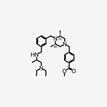 CCN(CC)CC(C)NCc1cccc(CN2[C@H](C)CN(Cc3ccc(C(=O)OC)cc3)C[C@@H]2C)c1